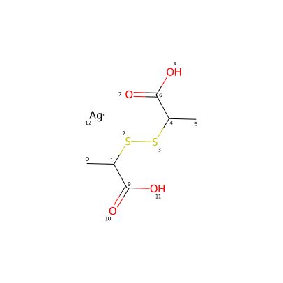 CC(SSC(C)C(=O)O)C(=O)O.[Ag]